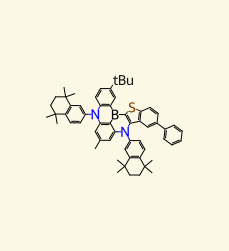 Cc1cc2c3c(c1)N(c1ccc4c(c1)C(C)(C)CCC4(C)C)c1c(sc4ccc(-c5ccccc5)cc14)B3c1cc(C(C)(C)C)ccc1N2c1ccc2c(c1)C(C)(C)CCC2(C)C